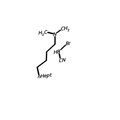 CCCCCCCCCCCN(C)C.N#CBBr